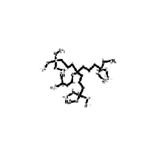 CO[Si](CCCC(CCC[Si](OC)(OC)OC)(CCC[Si](OC)(OC)OC)OCCC(C)O)(OC)OC